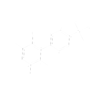 C[N+](C)(C)c1ccc(-c2c(F)c(F)[c]c(F)c2F)cc1